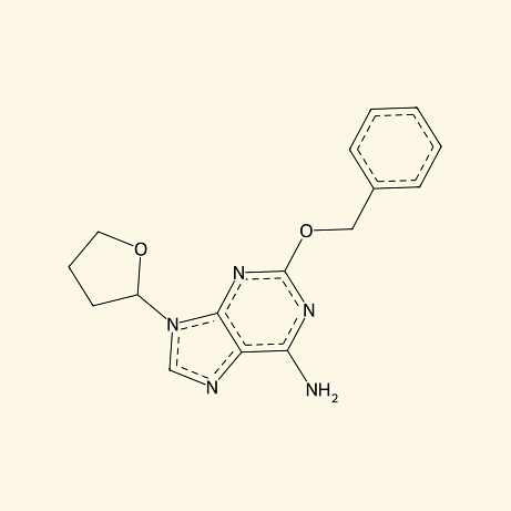 Nc1nc(OCc2ccccc2)nc2c1ncn2C1CCCO1